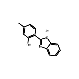 Cc1ccc(-c2nc3ccccc3s2)c(O)c1.[Zn]